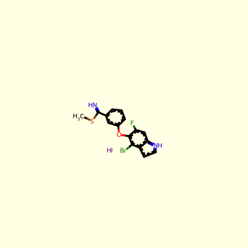 CSC(=N)c1cccc(Oc2c(F)cc3[nH]ccc3c2Br)c1.I